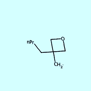 [CH2]C1(CCCC)COC1